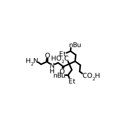 CCCCC(CC)CC(CCC(=O)O)C(CC(CC)CCCC)(C(=O)O)C(=O)CNC(=O)CN